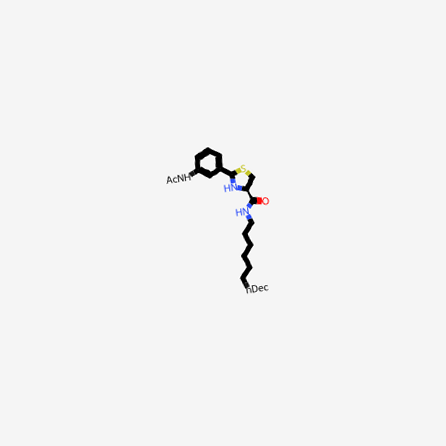 CCCCCCCCCCCCCCCCNC(=O)[C@@H]1CSC(c2cccc(NC(C)=O)c2)N1